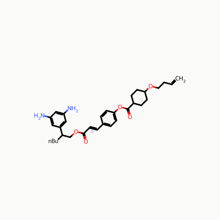 C=CCCOC1CCC(C(=O)Oc2ccc(/C=C/C(=O)OCC(CCCC)c3cc(N)cc(N)c3)cc2)CC1